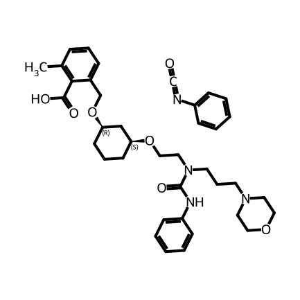 Cc1cccc(CO[C@@H]2CCC[C@H](OCCN(CCCN3CCOCC3)C(=O)Nc3ccccc3)C2)c1C(=O)O.O=C=Nc1ccccc1